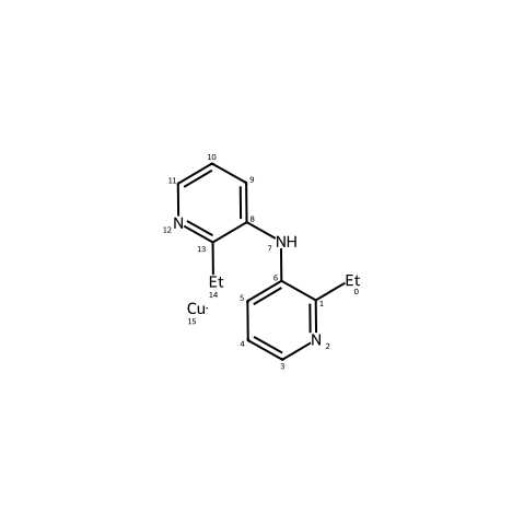 CCc1ncccc1Nc1cccnc1CC.[Cu]